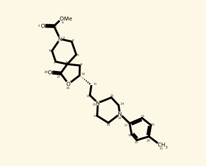 COC(=O)N1CCC2(CC1)C[C@H](CCN1CCN(c3ccc(C)cc3)CC1)OC2=O